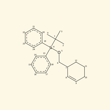 CC(C)(C)[Si](OCC1C=CCCC1)(c1ccccc1)c1ccccc1